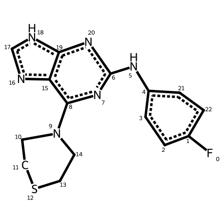 Fc1ccc(Nc2nc(N3CCSCC3)c3nc[nH]c3n2)cc1